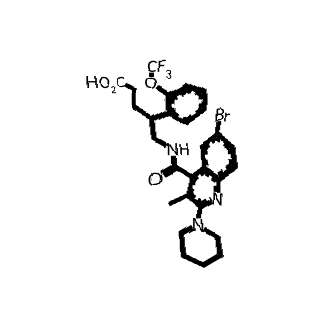 Cc1c(N2CCCCC2)nc2ccc(Br)cc2c1C(=O)NCC(CCC(=O)O)c1ccccc1OC(F)(F)F